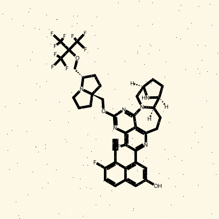 C#Cc1c(F)ccc2cc(O)cc(-c3nc4c5c(nc(OC[C@@]67CCCN6[C@H](COC(C(F)(F)F)(C(F)(F)F)C(F)(F)F)CC7)nc5c3F)N3C[C@H]5CC[C@H](N5)[C@H]3CC4)c12